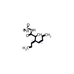 C=C/C=C\C(=C/C=C)C(C)C(=O)N[SH](=O)=O